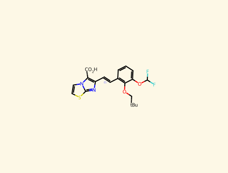 CC(C)(C)COc1c(/C=C/c2nc3sccn3c2C(=O)O)cccc1OC(F)F